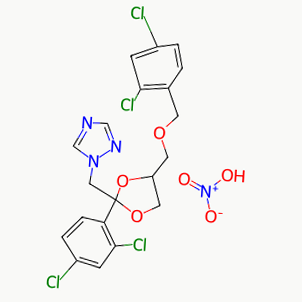 Clc1ccc(COCC2COC(Cn3cncn3)(c3ccc(Cl)cc3Cl)O2)c(Cl)c1.O=[N+]([O-])O